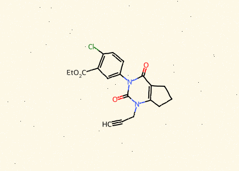 C#CCn1c2c(c(=O)n(-c3ccc(Cl)c(C(=O)OCC)c3)c1=O)CCC2